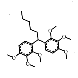 CCCCCC(c1ccc(OC)c(OC)c1OC)c1ccc(OC)c(OC)c1OC